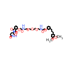 COc1ccc(CCCc2cccc(OCC(=O)NCCOCCOCCOCCNC(=O)COc3cccc4c3C(=O)N(C3CCC(=O)NC3=O)C4=O)c2)cc1OC